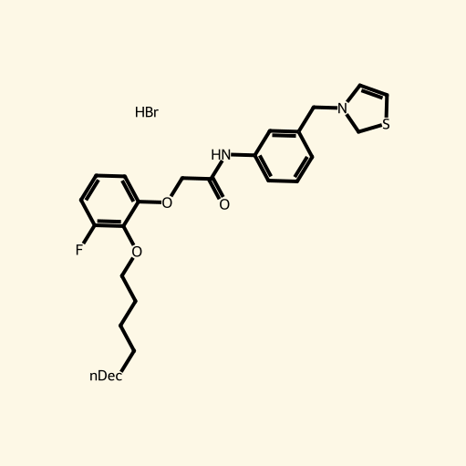 Br.CCCCCCCCCCCCCCOc1c(F)cccc1OCC(=O)Nc1cccc(CN2C=CSC2)c1